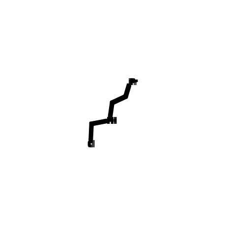 CC(C)CCPCCl